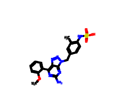 COc1ccccc1-c1nc(N)nc2c1nnn2Cc1ccc(NS(=O)(=O)O)c(C)c1